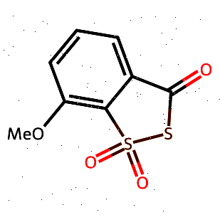 COc1cccc2c1S(=O)(=O)SC2=O